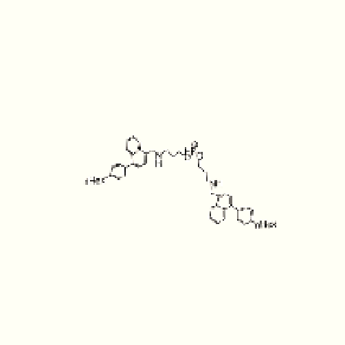 CCCCCCc1ccc(-c2ccc(CNCCCO[PH](=O)OCCCNCc3ccc(-c4ccc(CCCCCC)cc4)c4ccccc34)c3ccccc23)cc1